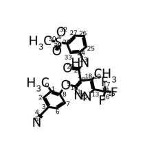 Cc1cc(C#N)ccc1Oc1nnc(C(F)(F)F)c(C)c1C(=O)Nc1cccc(S(C)(=O)=O)c1